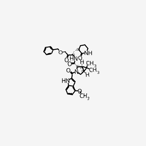 COc1cccc2[nH]c(C(=O)N3C[C@H]4[C@@H]([C@H]3C(=O)N[C@@H](C[C@@H]3CCCNC3=O)C(=O)COCc3ccccc3)C4(C)C)cc12